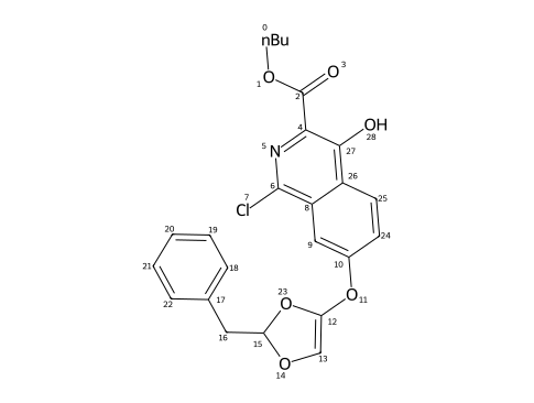 CCCCOC(=O)c1nc(Cl)c2cc(OC3=COC(Cc4ccccc4)O3)ccc2c1O